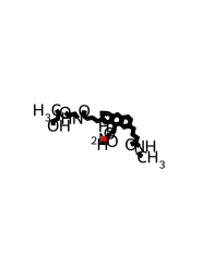 [2H]NC(=O)OCC1c2cc(CCCC(=O)NCC)ccc2Cc2ccc(CCCC(=O)NCCOC(C)CCO)cc21